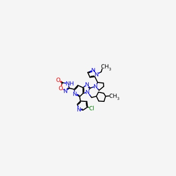 CCn1nccc1C1CCCN1c1nc2cc(-c3noc(=O)[nH]3)nc(-c3cncc(Cl)c3)c2n1CC1CCC(C)CC1